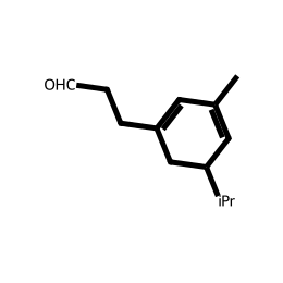 CC1=CC(C(C)C)CC(CCC=O)=C1